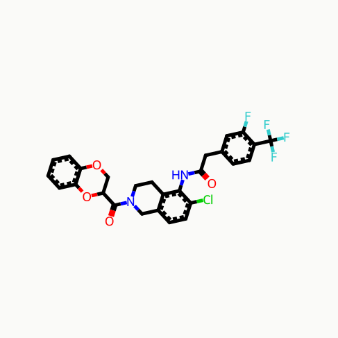 O=C(Cc1ccc(C(F)(F)F)c(F)c1)Nc1c(Cl)ccc2c1CCN(C(=O)C1COc3ccccc3O1)C2